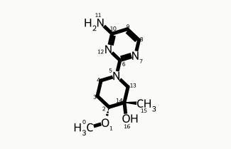 CO[C@@H]1CCN(c2nccc(N)n2)C[C@]1(C)O